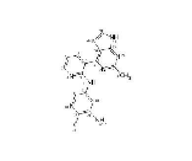 Cc1nc(-c2cccnc2Nc2cnc(Cl)c(N)c2)c2nc[nH]c2n1